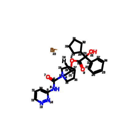 O=C(O[C@H]1C[N+]2(C(=O)Nc3cccnn3)CCC1CC2)C(O)(c1ccccc1)C1CCCC1.[Br-]